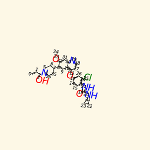 C=CC(O)N1CCC(c2cc3c(Oc4ccc(NC(=O)NC5CC5)c(Cl)c4)ccnc3cc2OC)CC1